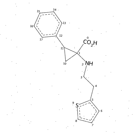 O=C(O)C1(NCCc2cccs2)CC1c1ccccc1